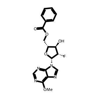 COc1ncnc2c1ncn2[C@@H]1O[C@H](COC(=O)c2ccccc2)[C@@H](O)[C@@H]1F